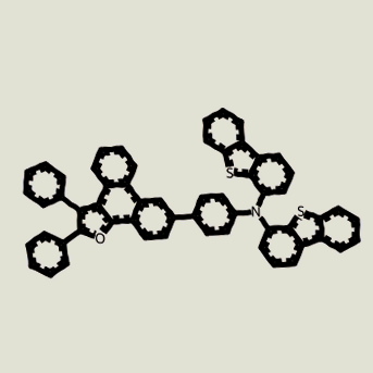 c1ccc(-c2oc3c4ccc(-c5ccc(N(c6cccc7c6sc6ccccc67)c6cccc7c6sc6ccccc67)cc5)cc4c4ccccc4c3c2-c2ccccc2)cc1